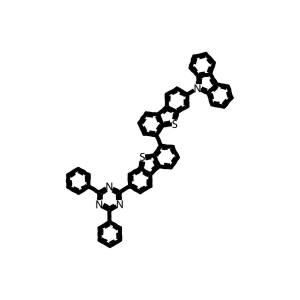 c1ccc(-c2nc(-c3ccccc3)nc(-c3ccc4c(c3)sc3c(-c5cccc6c5sc5cc(-n7c8ccccc8c8ccccc87)ccc56)cccc34)n2)cc1